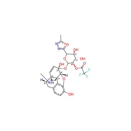 Cc1nnc(C2OC(O[C@@]3(O)C=C[C@H]4[C@H]5Cc6ccc(O)c7c6[C@@]4(CCN5C)[C@H]3O7)[C@H](OC(=O)C(F)(F)F)[C@@H](O)[C@@H]2O)o1